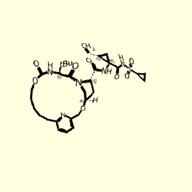 C=C[C@@H]1C[C@]1(NC(=O)[C@@H]1C[C@@H]2CN1C(=O)[C@H](C(C)(C)C)NC(=O)OCCCCCc1cccc(n1)CO2)C(=O)NS(=O)(=O)C1CC1